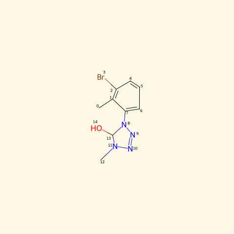 Cc1c(Br)cccc1N1N=NN(C)C1O